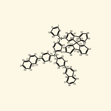 c1ccc(N(c2ccc(N(c3ccc(-c4ccc5ccccc5c4)cc3)c3ccc(-c4ccc5ccccc5c4)cc3)cc2)c2ccc3c(c2)C2(c4ccccc4-c4ccccc42)c2ccccc2-3)cc1